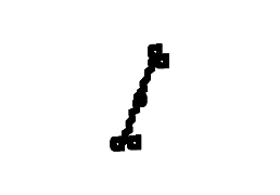 ClC(Cl)CCCCCCCOCCCCCCCC(Cl)Cl